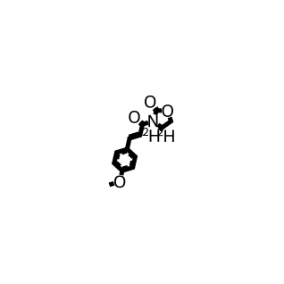 [2H]C1([2H])COC(=O)N1C(=O)/C=C/c1ccc(OC)cc1